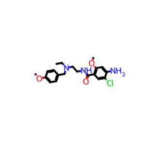 CCN(CCNC(=O)c1cc(Cl)c(N)cc1OC)Cc1ccc(OC)cc1